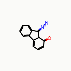 [N-]=[N+]=C1c2ccccc2C2=CC=CC(=O)C21